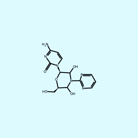 Nc1ccn([C@@H]2O[C@H](CO)C(O)N(c3ncccn3)C2O)c(=O)n1